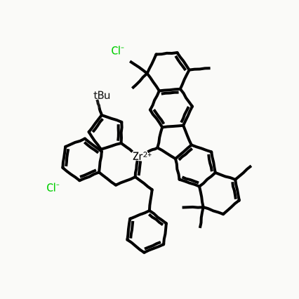 CC1=CCC(C)(C)c2cc3c(cc21)-c1cc2c(cc1[CH]3[Zr+2]([C]1=CC(C(C)(C)C)=CC1)=[C](Cc1ccccc1)Cc1ccccc1)C(C)(C)CC=C2C.[Cl-].[Cl-]